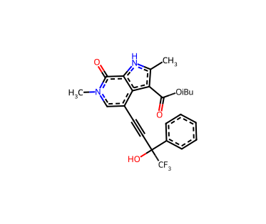 Cc1[nH]c2c(=O)n(C)cc(C#CC(O)(c3ccccc3)C(F)(F)F)c2c1C(=O)OCC(C)C